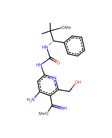 COC(=N)c1c(N)cc(NC(=O)N[C@@H](c2ccccc2)C(C)(C)OC)nc1CO